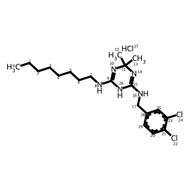 CCCCCCCCNC1=NC(C)(C)N=C(NCc2ccc(Cl)c(Cl)c2)N1.Cl